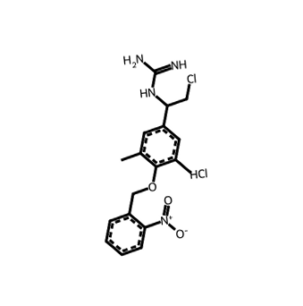 Cc1cc(C(CCl)NC(=N)N)cc(C)c1OCc1ccccc1[N+](=O)[O-].Cl